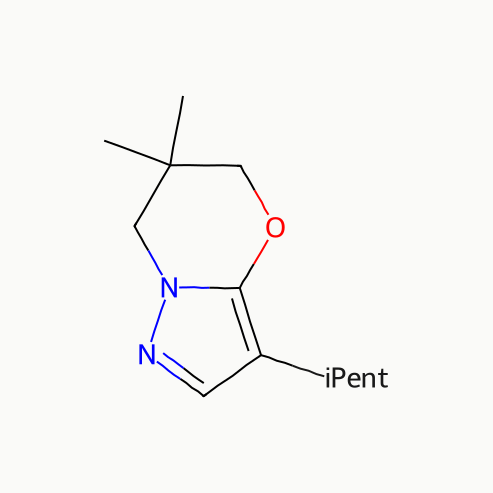 CCCC(C)c1cnn2c1OCC(C)(C)C2